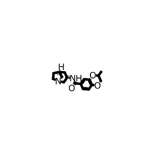 CC1COc2ccc(C(=O)N[C@@H]3C[C@@H]4CCN(C4)C3)cc2O1